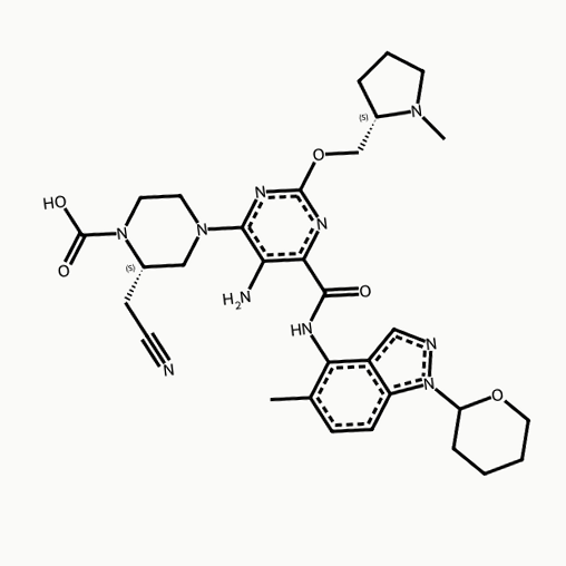 Cc1ccc2c(cnn2C2CCCCO2)c1NC(=O)c1nc(OC[C@@H]2CCCN2C)nc(N2CCN(C(=O)O)[C@@H](CC#N)C2)c1N